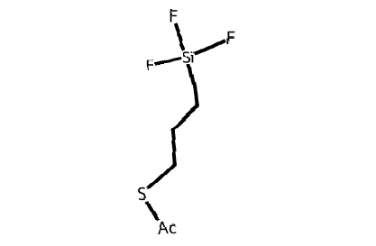 CC(=O)SCCC[Si](F)(F)F